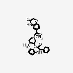 CC1CC[N+](C)(CC(=O)c2ccc3c(c2)NC(=O)CO3)C[C@@H]1OC(=O)[C@H](Nc1ccccc1)c1ccccc1